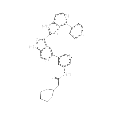 O=C(CC1CCCCC1)Nc1cncc(-c2cc3c(-c4nc5c(-c6ccncc6)nccc5[nH]4)n[nH]c3cn2)c1